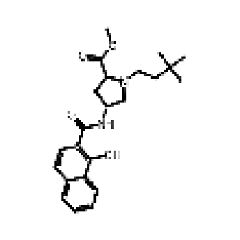 COC(=O)C1C[C@H](NC(=O)c2ccc3ccccc3c2O)CN1CCC(C)(C)C